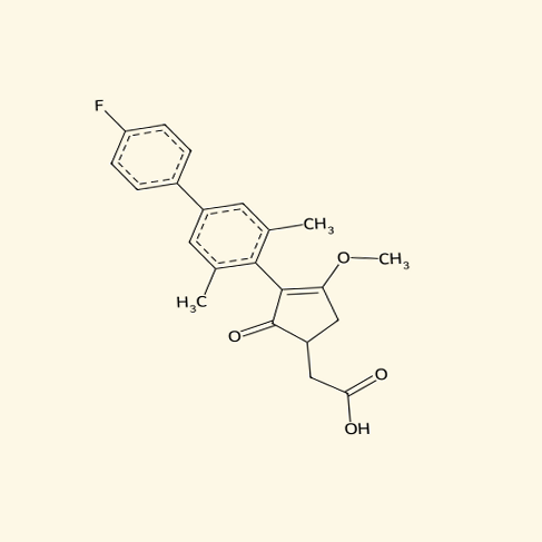 COC1=C(c2c(C)cc(-c3ccc(F)cc3)cc2C)C(=O)C(CC(=O)O)C1